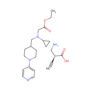 C#C[C@@H](CN)C(=O)O.CCOC(=O)CN(CC1CCN(c2ccncc2)CC1)C1CC1